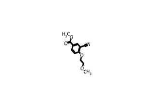 COCCOc1ccc(C(=O)OC)cc1C#N